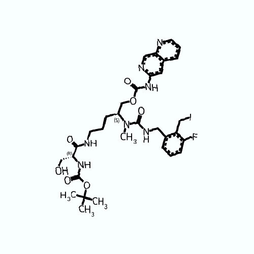 CN(C(=O)NCc1cccc(F)c1CI)[C@@H](CCCNC(=O)[C@@H](CO)NC(=O)OC(C)(C)C)COC(=O)Nc1cc2cccnc2cn1